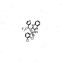 O=S(=O)(Nc1nc2ccccc2nc1OC(c1ccsc1)C(F)(F)F)c1cccc(Cl)c1Cl